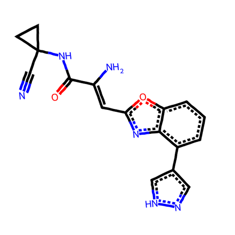 N#CC1(NC(=O)C(N)=Cc2nc3c(-c4cn[nH]c4)cccc3o2)CC1